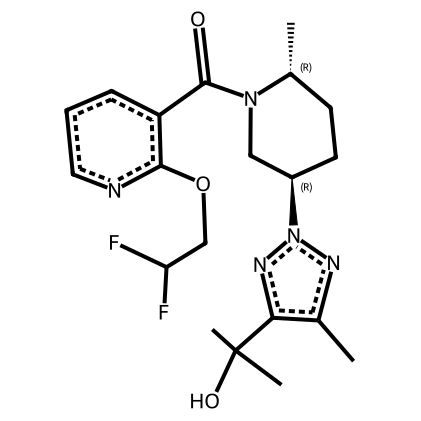 Cc1nn([C@@H]2CC[C@@H](C)N(C(=O)c3cccnc3OCC(F)F)C2)nc1C(C)(C)O